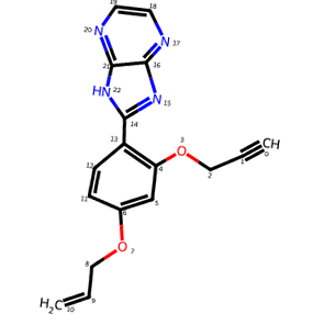 C#CCOc1cc(OCC=C)ccc1-c1nc2nccnc2[nH]1